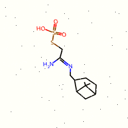 CC1(C)C2CCC(CN=C(N)CSS(=O)(=O)O)C1C2